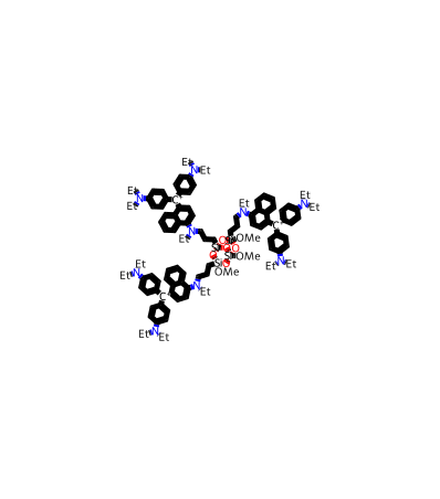 CCN(CC)c1ccc([C+](c2ccc(N(CC)CC)cc2)c2ccc(N(CC)CCC[Si]3(OC)O[Si]4(CCCN(CC)c5ccc([C+](c6ccc(N(CC)CC)cc6)c6ccc(N(CC)CC)cc6)c6ccccc56)O[Si](CCCN(CC)c5ccc([C+](c6ccc(N(CC)CC)cc6)c6ccc(N(CC)CC)cc6)c6ccccc56)(OC)O[Si](OC)(O3)O4)c3ccccc23)cc1